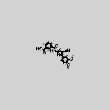 COc1ccc(-c2nc(NC(=O)c3cccc(C(=O)O)c3)sc2C#N)cc1OC